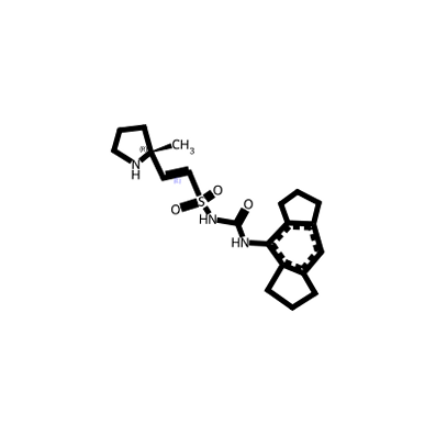 C[C@]1(/C=C/S(=O)(=O)NC(=O)Nc2c3c(cc4c2CCC4)CCC3)CCCN1